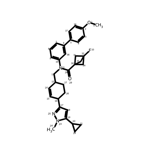 COc1ccc(-c2cccc(N(CC3C=CC(c4cc(C5CC5)n(C)n4)CC3)C(=O)C34CC(F)(C3)C4)c2)cc1